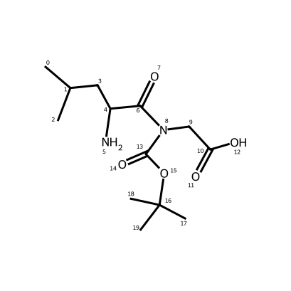 CC(C)CC(N)C(=O)N(CC(=O)O)C(=O)OC(C)(C)C